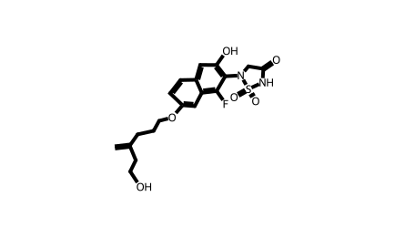 C=C(CCO)CCCOc1ccc2cc(O)c(N3CC(=O)NS3(=O)=O)c(F)c2c1